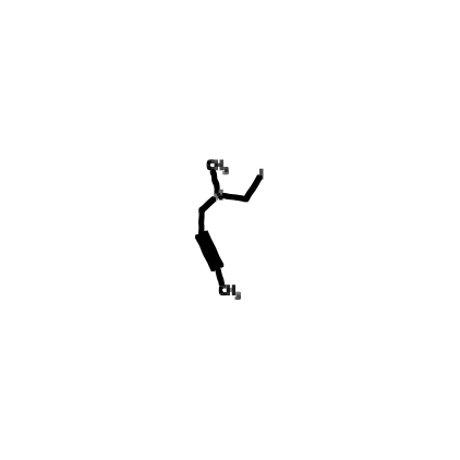 CC#CCN(C)CI